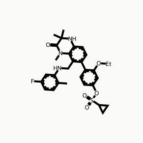 CCOc1cc(OS(=O)(=O)C2CC2)ccc1-c1ccc2c(c1CNc1cc(F)ccc1C)N(C)C(=O)C(C)(C)N2